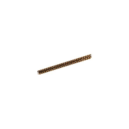 S=S=S=S=S=S=S=S=S=S=S=S=S=S=S=S=S=S=S=S=S=S=S=S=S=S=S=S=S=S=S=S=S=S=S=S=S=S=S=S=S=S=S=S=S=S=S=S=S